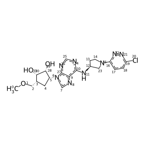 COC[C@H]1C[C@@H](n2cnc3c(N[C@H]4CCN(c5ccc(Cl)nn5)C4)ncnc32)[C@@H](O)[C@H]1O